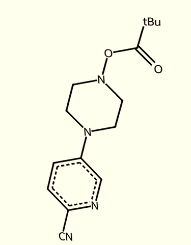 CC(C)(C)C(=O)ON1CCN(c2ccc(C#N)nc2)CC1